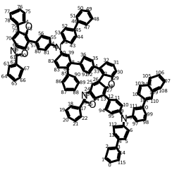 c1ccc(-c2ccc(N(c3ccc(-c4c5oc(-c6ccccc6)nc5cc5c4oc4cccc(-c6ccc(-c7cc(N(c8ccc(-c9ccccc9)cc8)c8ccc(-c9c%10oc(-c%11ccccc%11)nc%10cc%10c9oc9ccccc9%10)cc8)ccc7-c7ccccc7)cc6)c45)cc3)c3cccc(-c4ccc5ccccc5c4)c3)cc2)cc1